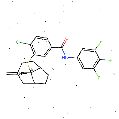 C=C1CCC2CCC(C1)[C@@H]2Sc1cc(C(=O)Nc2cc(F)c(F)c(F)c2)ccc1Cl